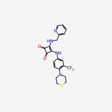 O=c1c(NCc2ccccn2)c(Nc2ccc(N3CCSCC3)c(C(F)(F)F)c2)c1=O